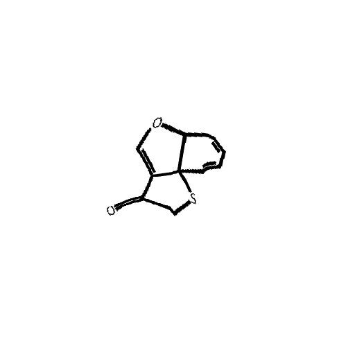 O=C1CSC23C=CC=CC2OC=C13